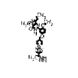 C=C(NO)c1cnc(N2CCC(COc3ccc(OCC)c(-c4nc5c(CCC)nn(C)c5c(=O)[nH]4)c3)CC2)nc1